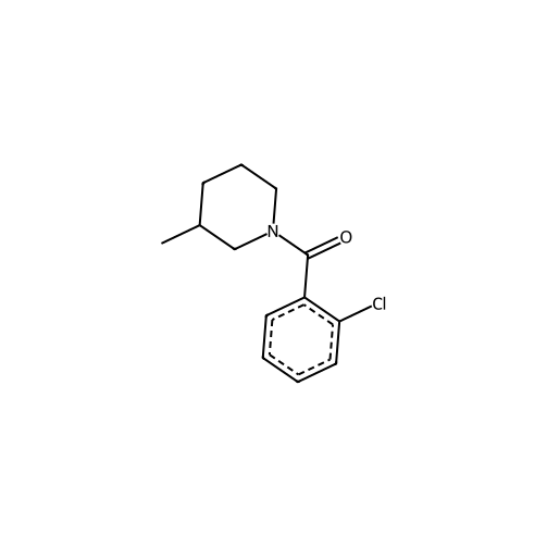 CC1CCCN(C(=O)c2ccccc2Cl)C1